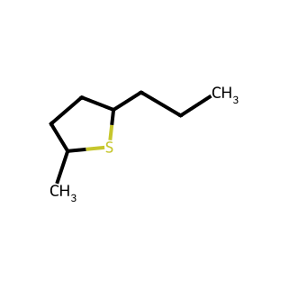 CCCC1CCC(C)S1